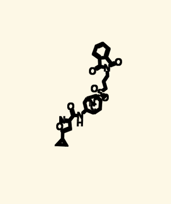 O=C(NC1CC2CCCC1CN2S(=O)(=O)CCCN1C(=O)c2ccccc2C1=O)c1cc(C2CC2)on1